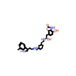 Cc1cccc2c(CCNCc3cccc(CCNC(O)Cc4ccc(O)c5[nH]c(=O)sc45)c3)c[nH]c12